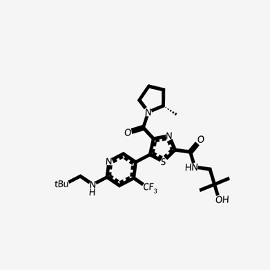 C[C@H]1CCCN1C(=O)c1nc(C(=O)NCC(C)(C)O)sc1-c1cnc(NCC(C)(C)C)cc1C(F)(F)F